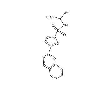 CC(C)C(NS(=O)(=O)c1ccc(-c2ccc3ccccc3c2)s1)C(=O)O